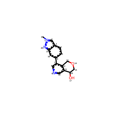 Cn1cc2ccc(-c3cncc4c3COCC4O)cc2n1